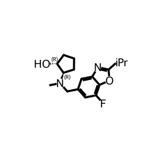 CC(C)c1nc2cc(CN(C)[C@@H]3CCC[C@H]3O)cc(F)c2o1